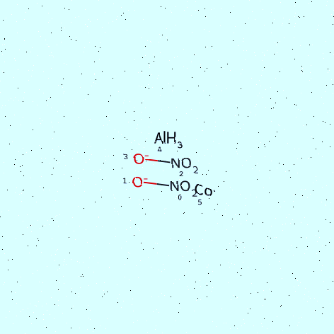 O=[N+]([O-])[O-].O=[N+]([O-])[O-].[AlH3].[Co]